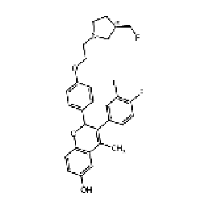 CC1=C(c2ccc(F)c(F)c2)C(c2ccc(OCCN3CC[C@@H](CF)C3)cc2)Oc2ccc(O)cc21